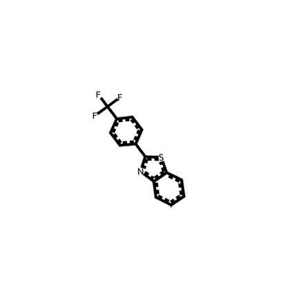 FC(F)(F)c1ccc(-c2nc3c[c]ccc3s2)cc1